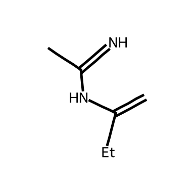 C=C(CC)NC(C)=N